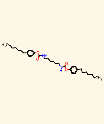 CCCCCCCc1ccc(OC(=O)NCCCCCCNC(=O)Oc2ccc(CCCCCCC)cc2)cc1